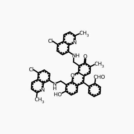 Cc1ccc2c(Cl)ccc(NCc3c4oc5c(CNc6ccc(Cl)c7ccc(C)nc67)c(O)ccc5c(-c5ccccc5C=O)c-4cc(C)c3=O)c2n1